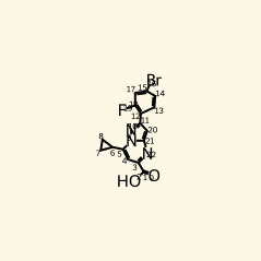 O=C(O)c1cc(C2CC2)n2nc(-c3ccc(Br)cc3F)cc2n1